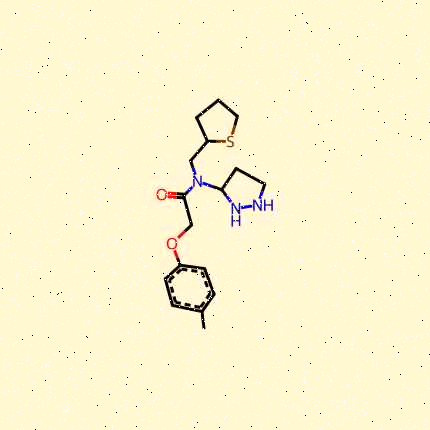 Cc1ccc(OCC(=O)N(CC2CCCS2)C2CCNN2)cc1